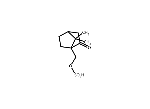 CC1(C)C2CCC1(COS(=O)(=O)O)C(=O)C2